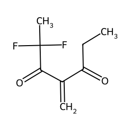 C=C(C(=O)CC)C(=O)C(C)(F)F